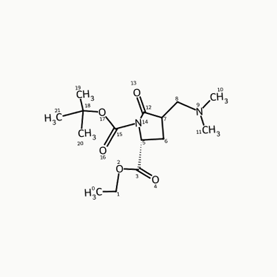 CCOC(=O)[C@H]1CC(CN(C)C)C(=O)N1C(=O)OC(C)(C)C